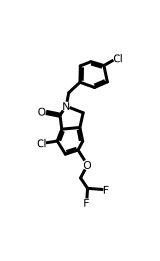 O=C1c2c(Cl)cc(OCC(F)F)cc2CN1Cc1ccc(Cl)cc1